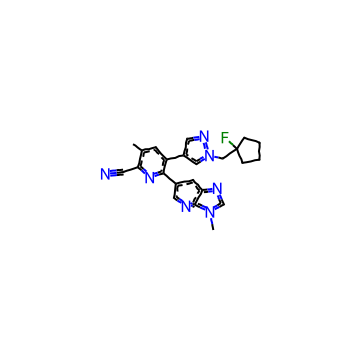 Cc1cc(-c2cnn(CC3(F)CCCC3)c2)c(-c2cnc3c(c2)ncn3C)nc1C#N